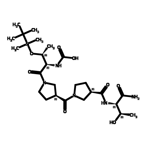 C[C@@H](O)[C@H](NC(=O)[C@@H]1CCN(C(=O)[C@H]2CCN(C(=O)[C@@H](NC(=O)O)[C@@H](C)O[Si](C)(C)C(C)(C)C)C2)C1)C(N)=O